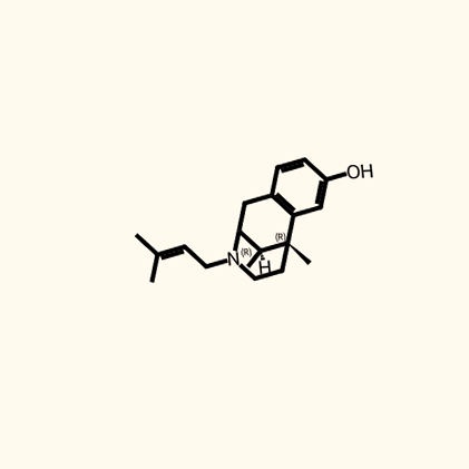 CC(C)=CCN1CC[C@@]2(C)c3cc(O)ccc3CC1[C@@H]2C